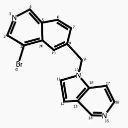 Brc1cncc2ccc(Cn3ccc4cnccc43)cc12